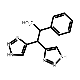 O=C(O)C(c1ccccc1)C(c1c[nH]nn1)c1c[nH]nn1